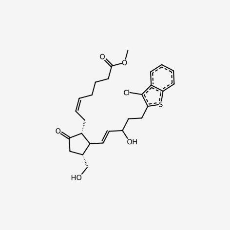 COC(=O)CCC/C=C\C[C@H]1C(=O)C[C@@H](CO)C1/C=C/C(O)CCc1sc2ccccc2c1Cl